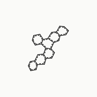 c1ccc2cc3c(ccc4c5cc6ccccc6cc5c5ccccc5c34)cc2c1